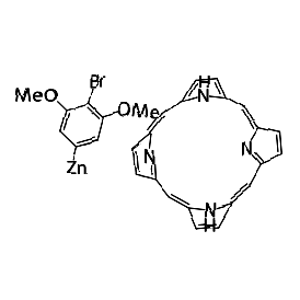 C1=Cc2cc3ccc(cc4nc(cc5ccc(cc1n2)[nH]5)C=C4)[nH]3.COc1c[c]([Zn])cc(OC)c1Br